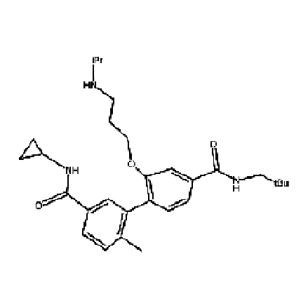 Cc1ccc(C(=O)NC2CC2)cc1-c1ccc(C(=O)NCC(C)(C)C)cc1OCCCNC(C)C